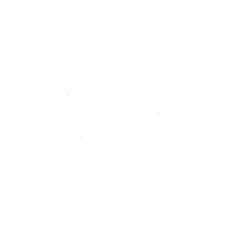 CN(C)c1nc(N[C@H]2CC[C@@H](CNC(=O)c3c(Cl)cccc3Cl)CC2)nc2ccccc12